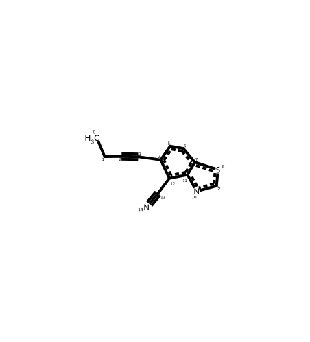 CCC#Cc1ccc2scnc2c1C#N